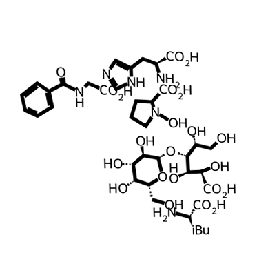 CC[C@H](C)[C@H](N)C(=O)O.N[C@@H](Cc1cnc[nH]1)C(=O)O.O=C(O)C1CCCN1O.O=C(O)CNC(=O)c1ccccc1.O=C(O)[C@H](O)[C@@H](O)[C@H](O[C@@H]1O[C@H](CO)[C@H](O)[C@H](O)[C@H]1O)[C@H](O)CO